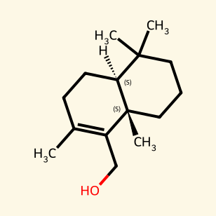 CC1=C(CO)[C@@]2(C)CCCC(C)(C)[C@@H]2CC1